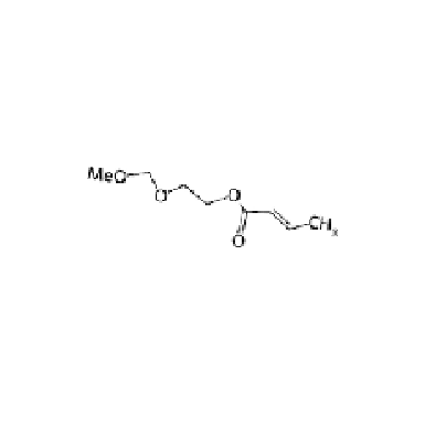 CC=CC(=O)OCCOCOC